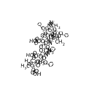 C=CCO[C@@H]1CO[C@@H](O[C@@H]2C(COS(=O)(=O)O)O[C@@H](O[C@H]3CO[C@@H](O[C@@H]4C(COS(=O)(=O)O)O[C@@H](OC5CO[C@@H](O[C@@H]6C(COS(=O)(=O)O)O[C@@H](O[C@H]7CO[C@@H](O[C@@H]8C(COS(=O)(=O)O)O[C@@H](OC)C(C)[C@H]8C)C[C@@H]7OCc7ccccc7)C(N=[N+]=[N-])[C@H]6C)C[C@@H]5OCc5ccccc5)C(N=[N+]=[N-])[C@H]4C)C[C@@H]3OCc3ccccc3)C(N=[N+]=[N-])[C@H]2C)C[C@@H]1OCc1ccccc1